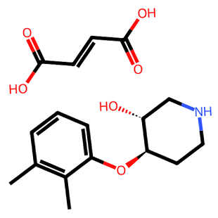 Cc1cccc(O[C@@H]2CCNC[C@H]2O)c1C.O=C(O)C=CC(=O)O